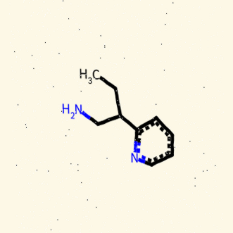 CCC(CN)c1ccccn1